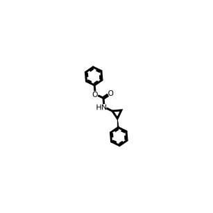 O=C(NC1C[C@H]1c1ccccc1)Oc1ccccc1